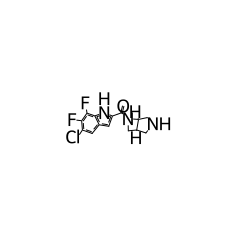 O=C(c1cc2cc(Cl)c(F)c(F)c2[nH]1)N1C[C@H]2CNC[C@H]21